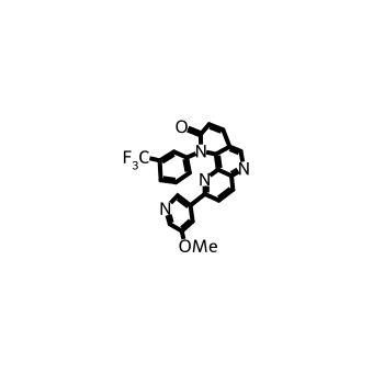 COc1cncc(-c2ccc3ncc4ccc(=O)n(-c5cccc(C(F)(F)F)c5)c4c3n2)c1